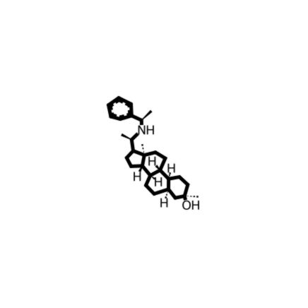 C[C@@H](N[C@H](C)C1CC[C@H]2[C@@H]3CC[C@@H]4C[C@](C)(O)CC[C@@H]4[C@H]3CC[C@]12C)c1ccccc1